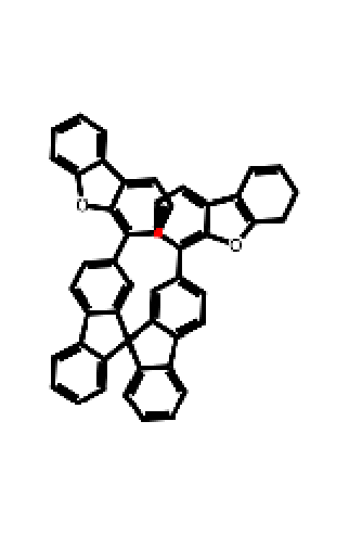 C1=Cc2c(oc3c(-c4ccc5c(c4)C4(c6ccccc6-5)c5ccccc5-c5ccc(-c6cccc7c6oc6ccccc67)cc54)cccc23)CC1